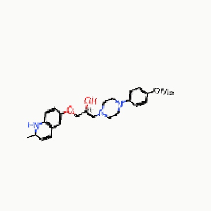 COc1ccc(N2CCN(C[C@H](O)COc3ccc4c(c3)C=CC(C)N4)CC2)cc1